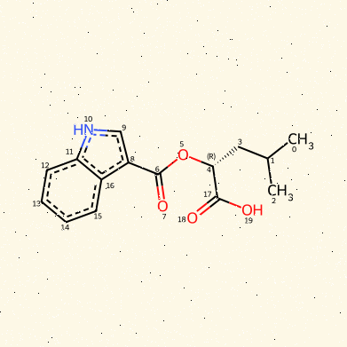 CC(C)C[C@@H](OC(=O)c1c[nH]c2ccccc12)C(=O)O